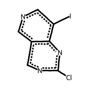 Clc1ncc2cncc(I)c2n1